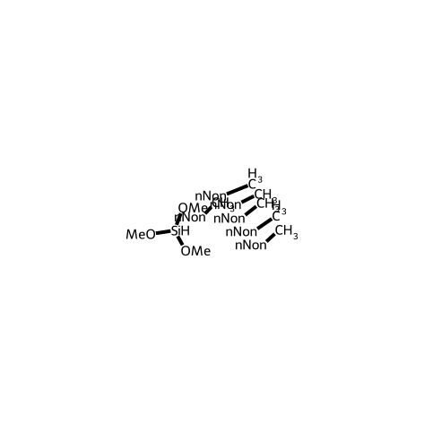 CCCCCCCCCC.CCCCCCCCCC.CCCCCCCCCC.CCCCCCCCCC.CCCCCCCCCC.CCCCCCCCCC.CO[SiH](OC)OC